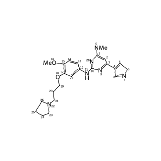 CNc1cc(C2=CCN=C2)nc(Nc2ccc(OC)c(OCCCN3CCCC3)c2)n1